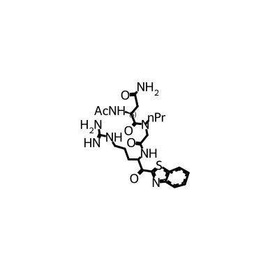 CCCN(CC(=O)NC(CCCNC(=N)N)C(=O)c1nc2ccccc2s1)C(=O)[C@H](CC(N)=O)NC(C)=O